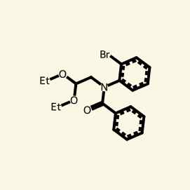 CCOC(CN(C(=O)c1ccccc1)c1ccccc1Br)OCC